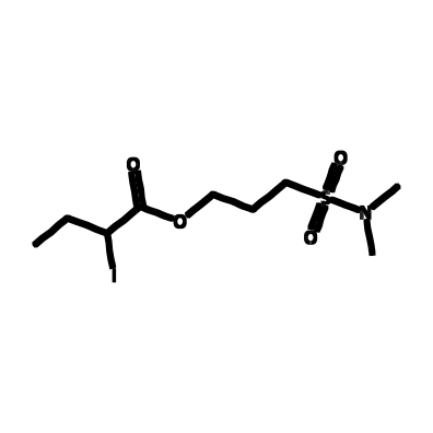 CCC(I)C(=O)OCCCS(=O)(=O)N(C)C